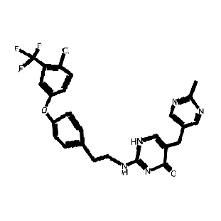 Cc1ncc(Cc2c[nH]c(NCCc3ccc(Oc4ccc(Cl)c(C(F)(F)F)c4)cc3)nc2=O)cn1